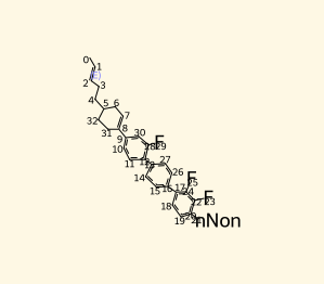 C/C=C/CCC1CC=C(c2ccc(-c3ccc(-c4ccc(CCCCCCCCC)c(F)c4F)cc3)c(F)c2)CC1